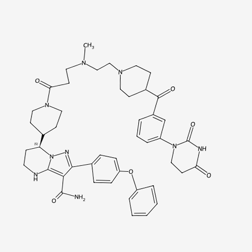 CN(CCC(=O)N1CCC([C@@H]2CCNc3c(C(N)=O)c(-c4ccc(Oc5ccccc5)cc4)nn32)CC1)CCN1CCC(C(=O)c2cccc(N3CCC(=O)NC3=O)c2)CC1